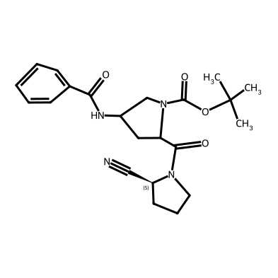 CC(C)(C)OC(=O)N1CC(NC(=O)c2ccccc2)CC1C(=O)N1CCC[C@H]1C#N